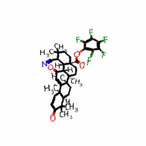 CC1(C)CC[C@]2(C(=O)Oc3c(F)c(F)c(F)c(F)c3F)CC[C@]3(C)[C@H](C(=O)C=C4[C@@]5(C)C=CC(=O)C(C)(C)[C@@H]5CC[C@]43C)[C@@H]2C1C#N